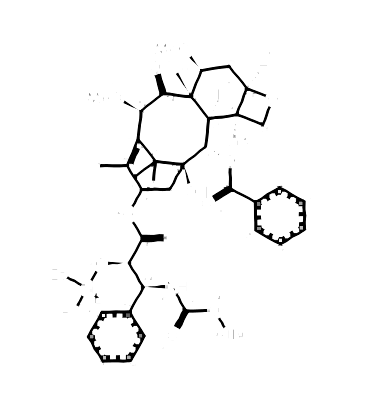 CC[Si](CC)(CC)O[C@@H](C(=O)OC1C[C@@]2(O)[C@@H](OC(=O)c3ccccc3)[C@@H]3[C@]4(OC(C)=O)CO[C@@H]4C[C@H](OC)[C@@]3(C)C(=O)[C@H](OC)C(=C1C)C2(C)C)[C@@H](NC(=O)OC(C)(C)C)c1ccccc1